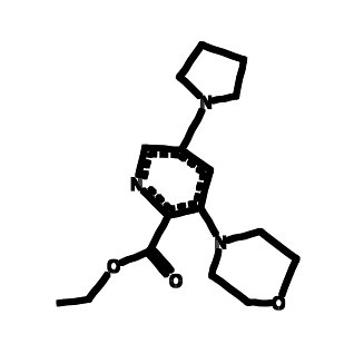 CCOC(=O)c1ncc(N2CCCC2)cc1N1CCOCC1